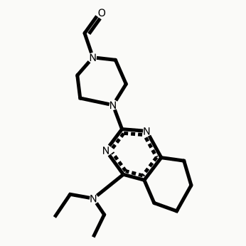 CCN(CC)c1nc(N2CCN(C=O)CC2)nc2c1CCCC2